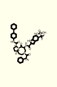 C[C@H](C(=O)N1CC[C@H]2CC[C@@H](C(=O)Nc3ccc(-c4ccccc4)cc3)N2C(=O)C(NC(=O)c2cc3cc(C(F)(F)P(=O)(O)O)ccc3[nH]2)C1)c1ccccc1